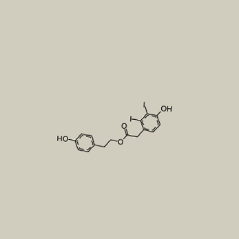 O=C(Cc1ccc(O)c(I)c1I)OCCc1ccc(O)cc1